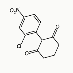 O=C1CCCC(=O)C1c1ccc([N+](=O)[O-])cc1Cl